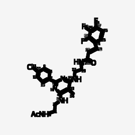 CC(=O)NCCNc1nc(-c2ccc(Cl)cc2)nc(NCCNC(=O)/C=C/c2ccc(F)c(F)c2F)c1C